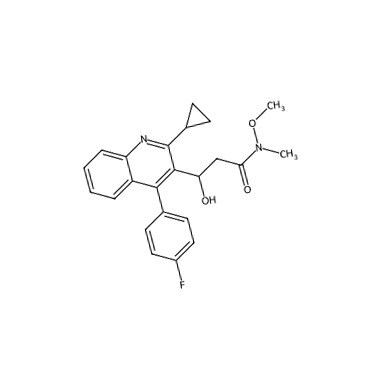 CON(C)C(=O)CC(O)c1c(C2CC2)nc2ccccc2c1-c1ccc(F)cc1